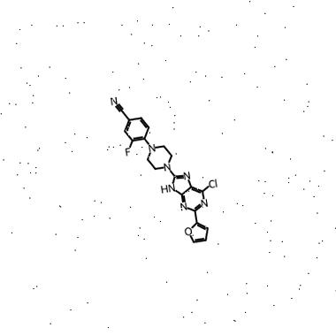 N#Cc1ccc(N2CCN(c3nc4c(Cl)nc(-c5ccco5)nc4[nH]3)CC2)c(F)c1